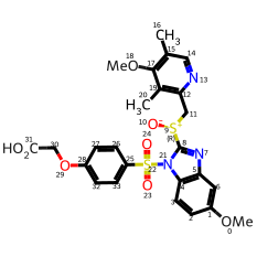 COc1ccc2c(c1)nc([S@@+]([O-])Cc1ncc(C)c(OC)c1C)n2S(=O)(=O)c1ccc(OCC(=O)O)cc1